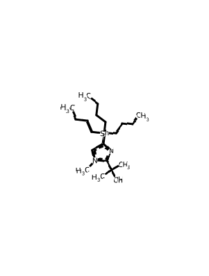 CCC[CH2][Sn]([CH2]CCC)([CH2]CCC)[c]1cn(C)c(C(C)(C)O)n1